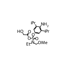 CC(C)c1cccc(C(C)C)c1N.CCN(COC)S(=O)(=O)OC(=O)CO